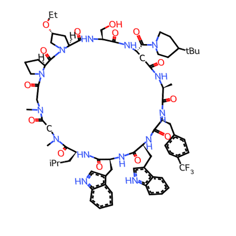 CCO[C@@H]1C[C@H]2C(=O)N[C@@H](CO)C(=O)N[C@H](C(=O)N3CCC(C(C)(C)C)CC3)CC(=O)N[C@@H](C)C(=O)N[C@@H](Cc3ccc(C(F)(F)F)cc3)C(=O)N[C@@H](Cc3c[nH]c4ccccc34)C(=O)N[C@@H](Cc3c[nH]c4ccccc34)C(=O)N[C@@H](CC(C)C)C(=O)N(C)CC(=O)N(C)CC(=O)N3CCC[C@H]3C(=O)N2C1